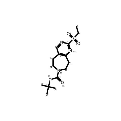 CCS(=O)(=O)c1ncc2c(n1)CCN(C(=O)OC(C)(C)C)CC2